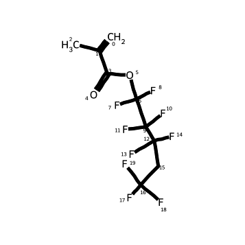 C=C(C)C(=O)OC(F)(F)C(F)(F)C(F)(F)CC(F)(F)F